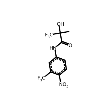 CC(O)(C(=O)Nc1ccc([N+](=O)[O-])c(C(F)(F)F)c1)C(F)(F)F